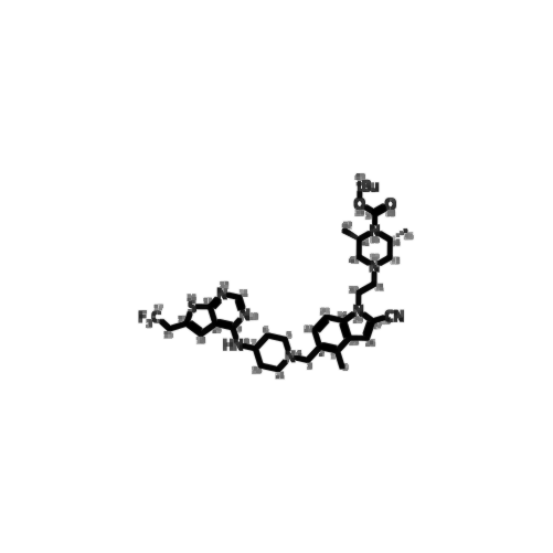 Cc1c(CN2CCC(Nc3ncnc4sc(CC(F)(F)F)cc34)CC2)ccc2c1cc(C#N)n2CCN1C[C@@H](C)N(C(=O)OC(C)(C)C)[C@H](C)C1